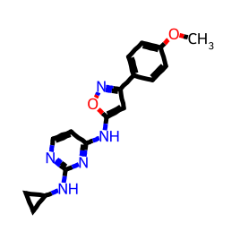 COc1ccc(-c2cc(Nc3ccnc(NC4CC4)n3)on2)cc1